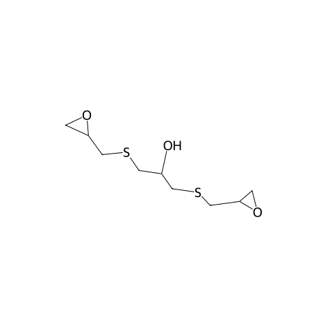 OC(CSCC1CO1)CSCC1CO1